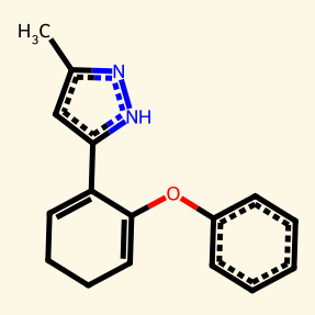 Cc1cc(C2=CCCC=C2Oc2ccccc2)[nH]n1